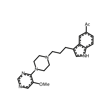 COc1cncnc1N1CCN(CCCc2c[nH]c3ccc(C(C)=O)cc23)CC1